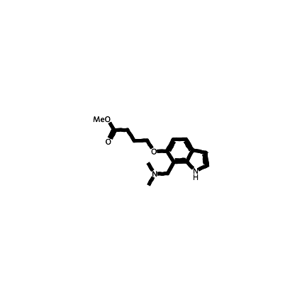 COC(=O)CCCOc1ccc2[c]c[nH]c2c1CN(C)C